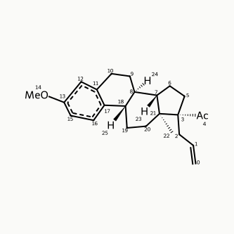 C=CC[C@]1(C(C)=O)CC[C@H]2[C@@H]3CCc4cc(OC)ccc4[C@H]3CC[C@@]21C